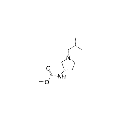 COC(=O)NC1CCN(CC(C)C)C1